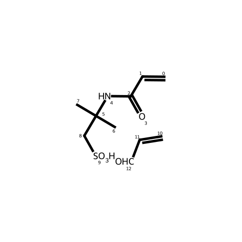 C=CC(=O)NC(C)(C)CS(=O)(=O)O.C=CC=O